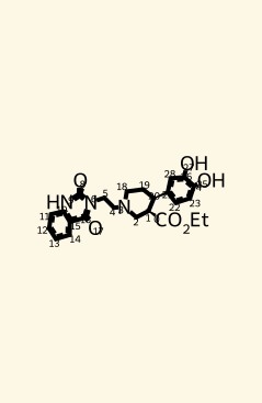 CCOC(=O)[C@H]1CN(CCn2c(=O)[nH]c3ccccc3c2=O)CC[C@H]1c1ccc(O)c(O)c1